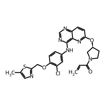 C=CC(=O)N1CC[C@H](Oc2ccc3ncnc(Nc4ccc(OCc5ncc(C)s5)c(Cl)c4)c3n2)C1